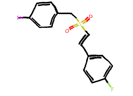 O=S(=O)(C=Cc1ccc(F)cc1)Cc1ccc(I)cc1